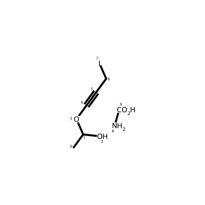 CC(O)OC#CCI.NC(=O)O